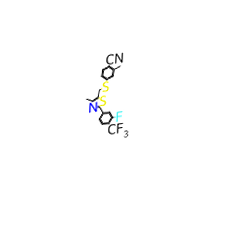 Cc1cc(SCc2sc(-c3ccc(C(F)(F)F)c(F)c3)nc2C)ccc1C#N